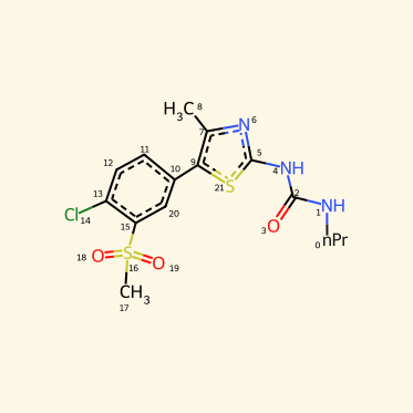 CCCNC(=O)Nc1nc(C)c(-c2ccc(Cl)c(S(C)(=O)=O)c2)s1